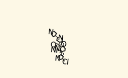 NC1=N[C@@]2(CO1)c1cc(-c3cncc(Cl)c3)ccc1Oc1cnc(-c3ccncc3)cc12